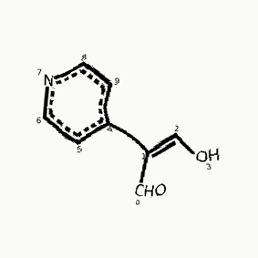 O=C/C(=C\O)c1ccncc1